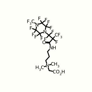 C[N+](C)(CCCNC(=O)C(F)(C(F)(F)F)C(F)(F)N1C(F)(F)C(F)(F)N(C(F)(F)F)C(F)(F)C1(F)F)CC(=O)O